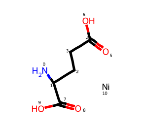 NC(CCC(=O)O)C(=O)O.[Ni]